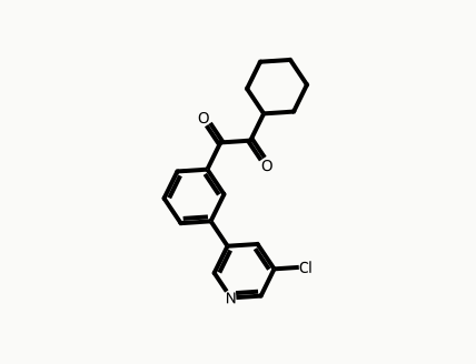 O=C(C(=O)C1CCCCC1)c1cccc(-c2cncc(Cl)c2)c1